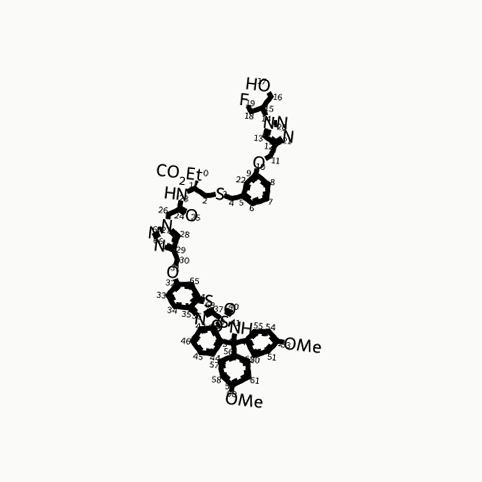 CCOC(=O)[C@@H](CSCc1cccc(OCc2cn(C(CO)CF)nn2)c1)NC(=O)Cn1cc(COc2ccc3nc(S(=O)(=O)NC(c4ccccc4)(c4ccc(OC)cc4)c4ccc(OC)cc4)sc3c2)nn1